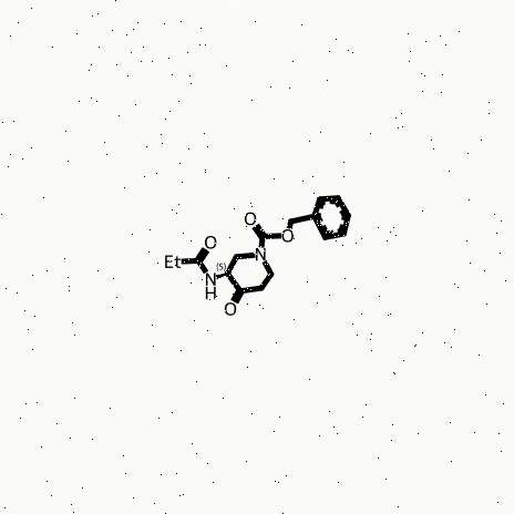 CCC(=O)N[C@H]1CN(C(=O)OCc2ccccc2)CCC1=O